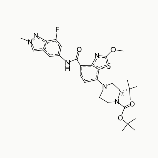 COc1nc2c(C(=O)Nc3cc(F)c4nn(C)cc4c3)ccc(N3CCN(C(=O)OC(C)(C)C)[C@@H](C(C)(C)C)C3)c2s1